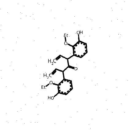 C=CC(C(=O)C(C=C)c1cccc(O)c1OCC)c1cccc(O)c1OCC